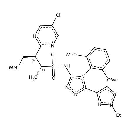 CCn1ccc(-c2nnc(NS(=O)(=O)[C@H](C)[C@@H](COC)c3ncc(Cl)cn3)n2-c2c(OC)cccc2OC)n1